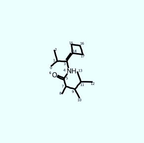 CC(C)C(NC(=O)C(C)C(C)C(C)C)=C1CCC1